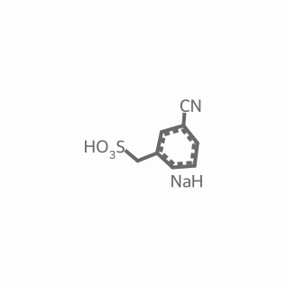 N#Cc1cccc(CS(=O)(=O)O)c1.[NaH]